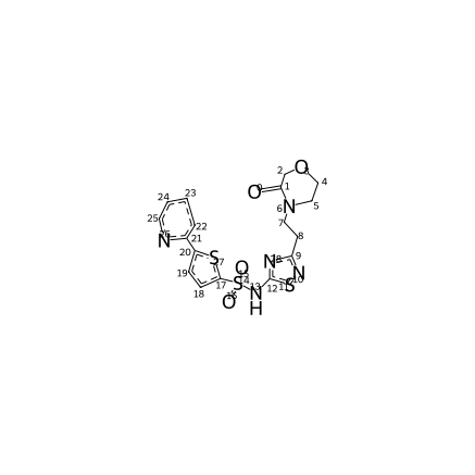 O=C1COCCN1CCc1nsc(NS(=O)(=O)c2ccc(-c3ccccn3)s2)n1